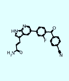 N#Cc1ccc(C(=O)c2ccc(-c3cnc4[nH]cc(/C=C/C(N)=O)c4c3)cc2F)cc1